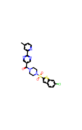 Cc1ccnc(-c2ncc(C(=O)N3CCN(S(=O)(=O)c4cc5ccc(Cl)cc5s4)CC3)cn2)c1